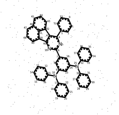 c1ccc(-c2nc(-c3cc(N(c4ccccc4)c4ccccc4)cc(N(c4ccccc4)c4ccccc4)c3)nc3c2-c2cccc4cccc-3c24)cc1